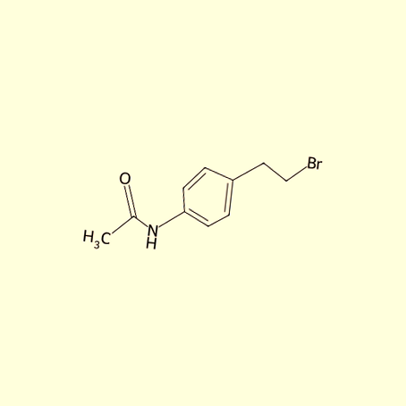 CC(=O)Nc1ccc(CCBr)cc1